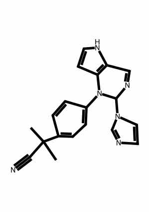 CC(C)(C#N)c1ccc(N2c3cc[nH]c3C=NC2n2ccnc2)cc1